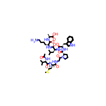 CSCC[C@H](NC(=O)[C@@H](NC(C)=O)C(C)C)C(=O)NCC(=O)N1CCC[C@H]1C(=O)N[C@@H](Cc1c[nH]c2ccccc12)C(=O)N[C@@H](CC(C)C)C(=O)N[C@@H](CCCCN)C(=O)N[C@@H](C)C(=O)O